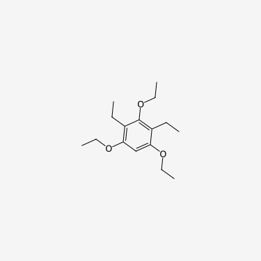 CCOc1cc(OCC)c(CC)c(OCC)c1CC